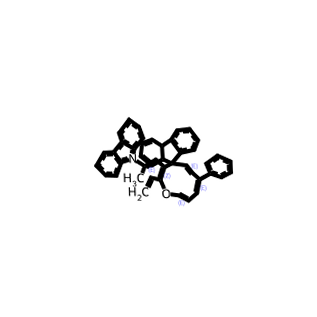 C=C/C1=C(\C=C(/C)n2c3ccccc3c3ccccc32)C2(/C=C/C(c3ccccc3)=C\C=C\O1)c1ccccc1C1C=CC=CC12